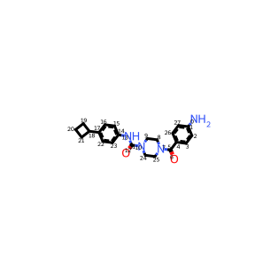 Nc1ccc(C(=O)N2CCN(C(=O)Nc3ccc(C4CCC4)cc3)CC2)cc1